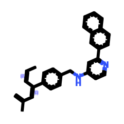 C=C(C)/C=C(\C=C/C)c1ccc(CNc2ccnc(-c3ccc4ccccc4c3)c2)cc1